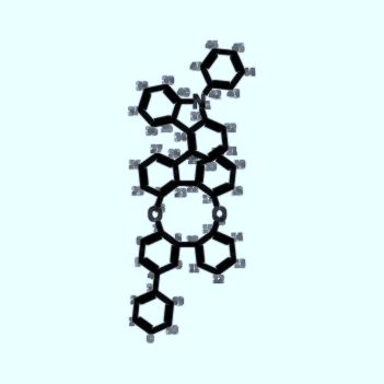 c1ccc(-c2ccc3c(c2)-c2ccccc2Oc2ccccc2-c2c(cccc2-c2cccc4c2c2ccccc2n4-c2ccccc2)O3)cc1